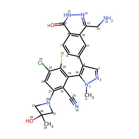 Cn1ncc(-c2ccc3c(=O)[nH]nc(CN)c3c2)c1-c1c(F)c(Cl)cc(N2CC(C)(O)C2)c1C#N